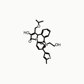 Cc1cc(-c2ccc(N3C(=O)C(O)=C(COC(C)C)C3c3ccccc3C(=O)N(C)CCO)cc2)cs1